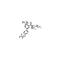 COCCN(N)C(=O)c1cc(-c2ccc(OC(F)(F)F)cc2)ccc1N